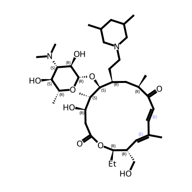 CC[C@H]1OC(=O)C[C@@H](O)[C@H](C)[C@@H](O[C@@H]2O[C@H](C)[C@@H](O)[C@H](N(C)C)[C@H]2O)[C@@H](CCN2CC(C)CC(C)C2)C[C@@H](C)C(=O)/C=C/C(C)=C/[C@@H]1CO